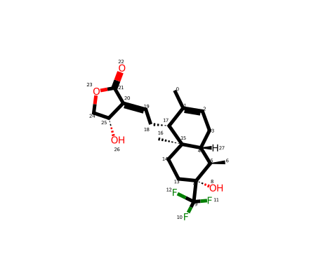 CC1=CC[C@@H]2[C@@H](C)[C@@](O)(C(F)(F)F)CC[C@@]2(C)[C@@H]1C/C=C1/C(=O)OC[C@H]1O